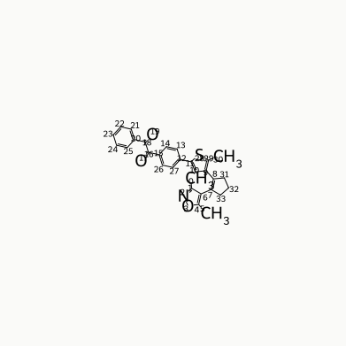 Cc1noc(C)c1C1=C(c2cc(-c3ccc(C(=O)C(=O)c4ccccc4)cc3)sc2C)CCC1